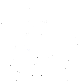 CCc1nc2cc(C)c(F)cc2c(CC(C)(C)C(=O)O)c1C